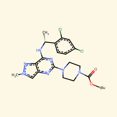 C[C@@H](Nc1nc(N2CCN(C(=O)OC(C)(C)C)CC2)nc2cn(C)nc12)c1ccc(Cl)cc1Cl